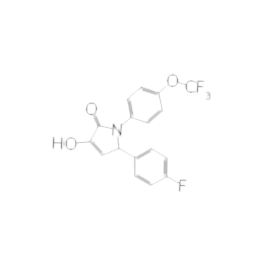 O=C1C(O)=CC(c2ccc(F)cc2)N1c1ccc(OC(F)(F)F)cc1